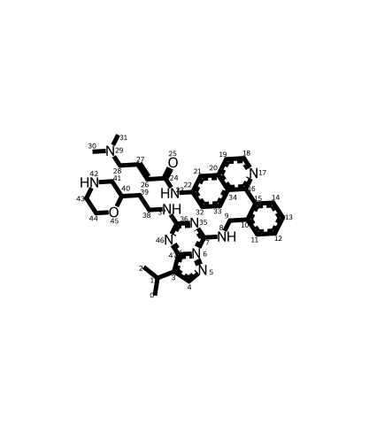 CC(C)c1cnn2c(NCc3ccccc3-c3nccc4cc(NC(=O)/C=C/CN(C)C)ccc34)nc(NCCC3CNCCO3)nc12